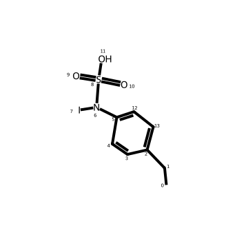 CCc1ccc(N(I)S(=O)(=O)O)cc1